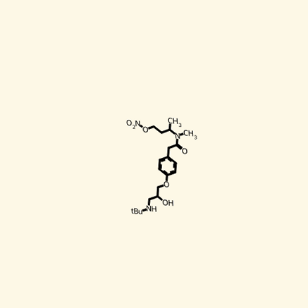 CC(CCO[N+](=O)[O-])N(C)C(=O)Cc1ccc(OCC(O)CNC(C)(C)C)cc1